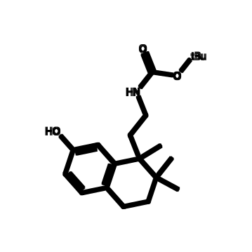 CC(C)(C)OC(=O)NCCC1(C)c2cc(O)ccc2CCC1(C)C